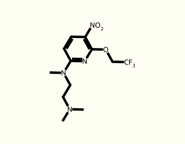 CN(C)CCN(C)c1ccc([N+](=O)[O-])c(OCC(F)(F)F)n1